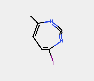 CC1=CC=C(I)N=C=N1